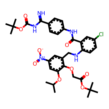 CC(C)Oc1cc([N+](=O)[O-])cc(CNc2ccc(Cl)cc2C(=O)Nc2ccc(C(=N)NC(=O)OC(C)(C)C)cc2)c1OCC(=O)OC(C)(C)C